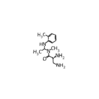 Cc1ccccc1NC(C)N(C)C(=O)[C@@H](N)CN